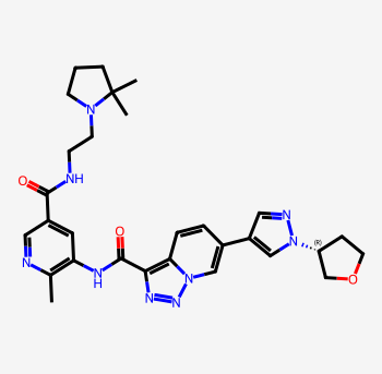 Cc1ncc(C(=O)NCCN2CCCC2(C)C)cc1NC(=O)c1nnn2cc(-c3cnn([C@@H]4CCOC4)c3)ccc12